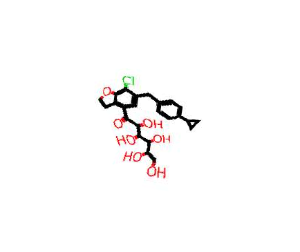 O=C(c1cc(Cc2ccc(C3CC3)cc2)c(Cl)c2c1CCO2)C(O)C(O)C(O)C(O)CO